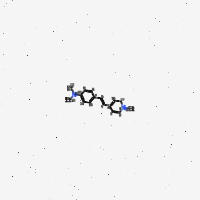 CCN1C=CC(/C=C/c2ccc(N(CC)CC)cc2)=CC1